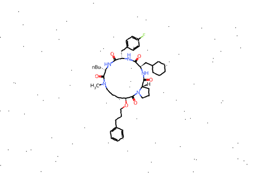 CCCC[C@@H]1NC(=O)[C@H](Cc2ccc(F)cc2)NC(=O)[C@@H](CC2CCCCC2)NC(=O)[C@@H]2CCCN2C(=O)[C@@H](OCCCc2ccccc2)CCCN(C)C1=O